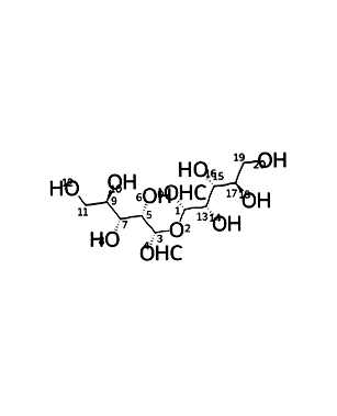 O=C[C@@H](O[C@H](C=O)[C@@H](O)[C@H](O)[C@H](O)CO)[C@@H](O)[C@H](O)[C@H](O)CO